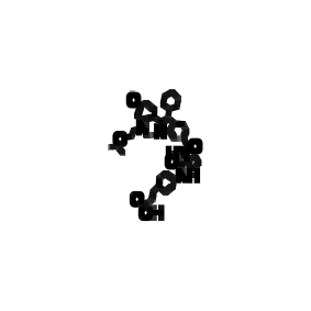 COc1ccc2c(c1)N(CCOC(C)C)CCn1c-2c(C2CCCCC2)c2ccc(C(=O)NC3(C(=O)Nc4ccc(/C=C/C(=O)O)cc4)CCC3)cc21